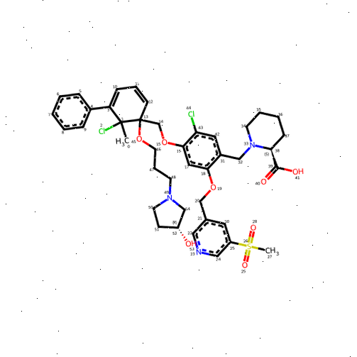 CC1(Cl)C(c2ccccc2)=CC=CC1(COc1cc(OCc2cncc(S(C)(=O)=O)c2)c(CN2CCCC[C@H]2C(=O)O)cc1Cl)OCCCN1CC[C@@H](O)C1